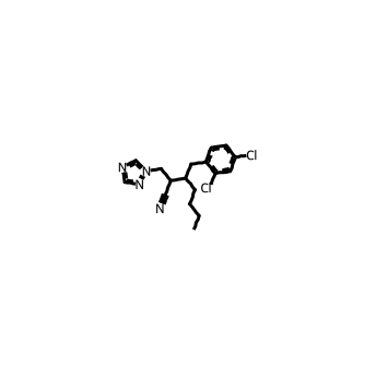 CCCCC(Cc1ccc(Cl)cc1Cl)C(C#N)Cn1cncn1